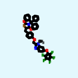 Cn1c(COc2ccc(CC3SC(=O)N(C(c4ccccc4)(c4ccccc4)c4ccccc4)C3=O)cc2)nc2ccc(Oc3c(F)c(F)c(F)c(F)c3F)cc21